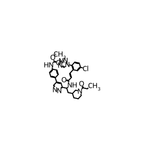 CCC(=O)N1CCCC(CC(NC(=O)/C=C/c2cc(Cl)ccc2-n2cnnn2)c2cc(-c3ccc(NC(=O)OC)cc3)cnn2)C1